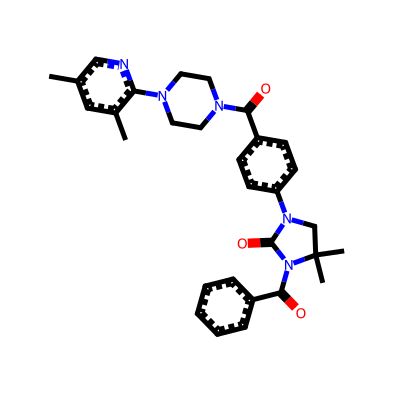 Cc1cnc(N2CCN(C(=O)c3ccc(N4CC(C)(C)N(C(=O)c5ccccc5)C4=O)cc3)CC2)c(C)c1